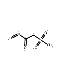 CS(=O)(=O)CC(=O)N=O